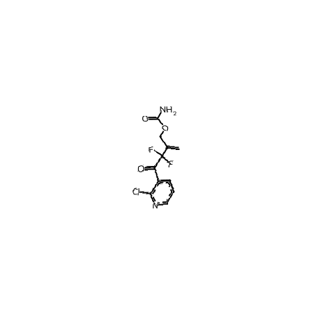 C=C(COC(N)=O)C(F)(F)C(=O)c1cccnc1Cl